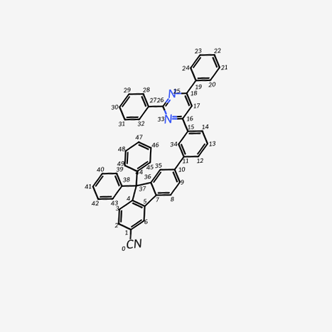 N#Cc1ccc2c(c1)-c1ccc(-c3cccc(-c4cc(-c5ccccc5)nc(-c5ccccc5)n4)c3)cc1C2(c1ccccc1)c1ccccc1